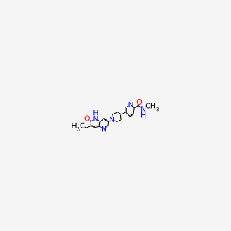 CCc1cc2ncc(N3CC=C(c4ccc(C(=O)NC)nc4)CC3)cc2[nH]c1=O